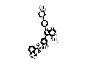 CN1CCN([C@H]2CC[C@H](n3cc(-c4ccc(NS(=O)(=O)c5cccc6nsnc56)c(F)c4)c4c(N)ncnc43)CC2)CC1